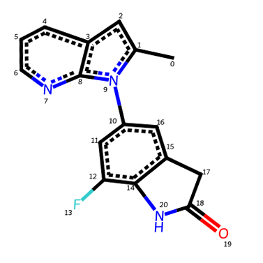 Cc1cc2cccnc2n1-c1cc(F)c2c(c1)CC(=O)N2